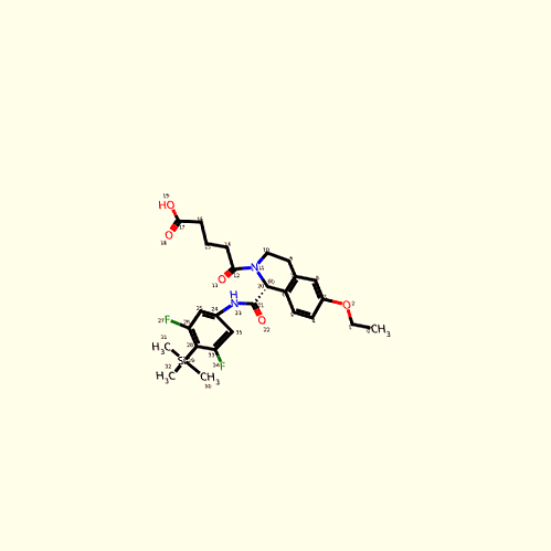 CCOc1ccc2c(c1)CCN(C(=O)CCCC(=O)O)[C@H]2C(=O)Nc1cc(F)c([Si](C)(C)C)c(F)c1